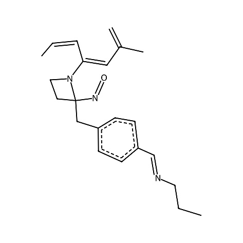 C=C(C)/C=C(\C=C/C)N1CCC1(Cc1ccc(/C=N/CCC)cc1)N=O